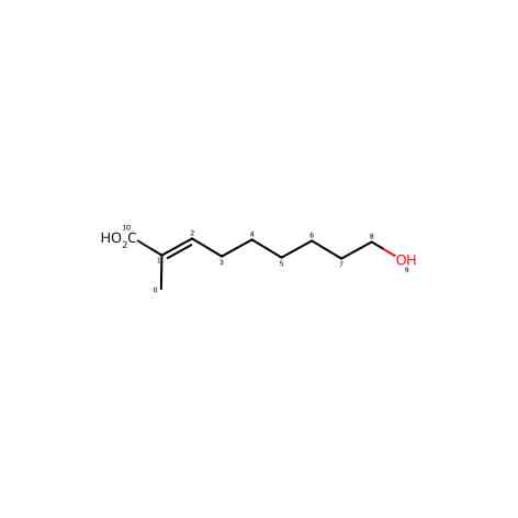 CC(=CCCCCCCO)C(=O)O